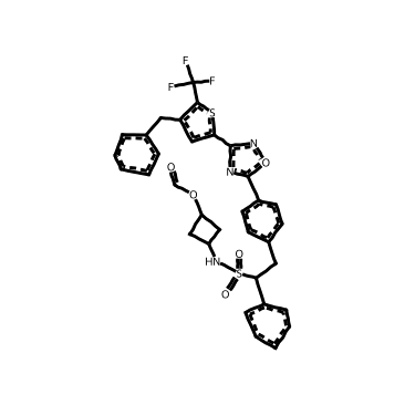 O=COC1CC(NS(=O)(=O)C(Cc2ccc(-c3nc(-c4cc(Cc5ccccc5)c(C(F)(F)F)s4)no3)cc2)c2ccccc2)C1